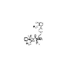 Cc1c(Cl)cccc1N1CCN(CCCN(C)C(=O)c2nc(C)n(-c3ccccc3)c2C)CC1.Cl.Cl